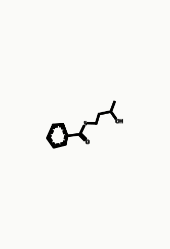 CC(O)CCSC(=O)c1ccccc1